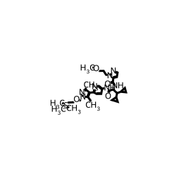 CCc1c(-c2ccc(NC(=O)C(NC(=O)c3ccnn3CCCOC)C(C3CC3)C3CC3)cn2)c(C)nn1COCCS(C)(C)C